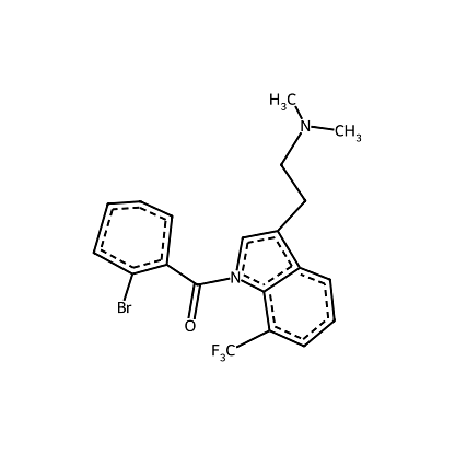 CN(C)CCc1cn(C(=O)c2ccccc2Br)c2c(C(F)(F)F)cccc12